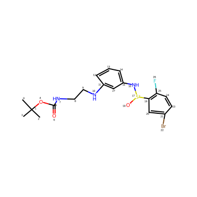 CC(C)(C)OC(=O)NCCNc1cccc(N[S+]([O-])c2cc(Br)ccc2F)c1